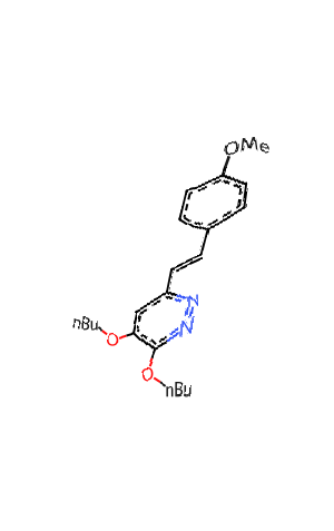 CCCCOc1cc(/C=C/c2ccc(OC)cc2)nnc1OCCCC